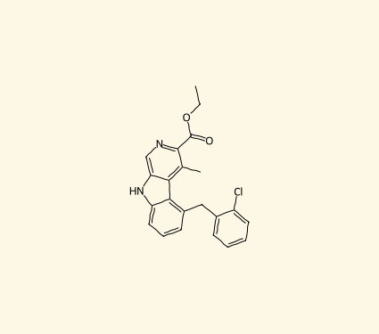 CCOC(=O)c1ncc2[nH]c3cccc(Cc4ccccc4Cl)c3c2c1C